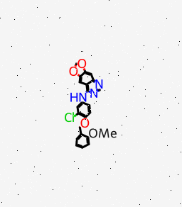 COc1ccccc1COc1ccc(Nc2ncnc3cc4c(cc23)OCO4)cc1Cl